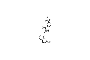 O=C(NCCc1cccc2ccc(O)cc12)c1cccc(C(F)(F)F)c1